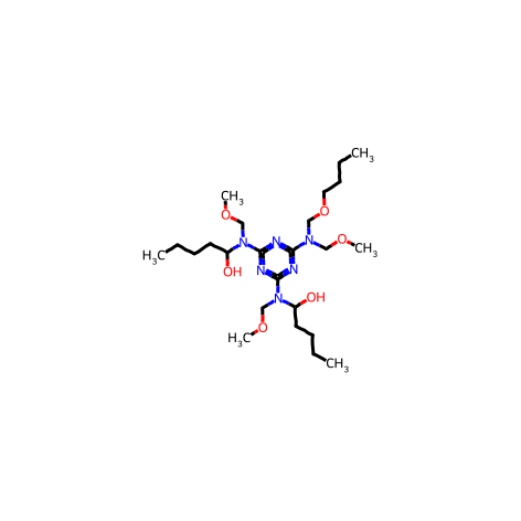 CCCCOCN(COC)c1nc(N(COC)C(O)CCCC)nc(N(COC)C(O)CCCC)n1